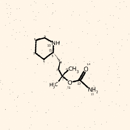 CC(C)(CC[C@@H]1CCCCN1)OC(N)=O